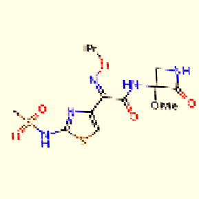 COC1(NC(=O)C(=NOC(C)C)c2csc(NS(C)(=O)=O)n2)CNC1=O